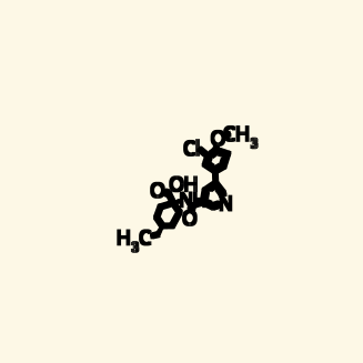 CC[C@H]1CC[C@](NC(=O)c2cncc(-c3ccc(OC)c(Cl)c3)c2)(C(=O)O)CC1